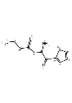 CCOC(=O)CC(N)C(=O)c1cccs1